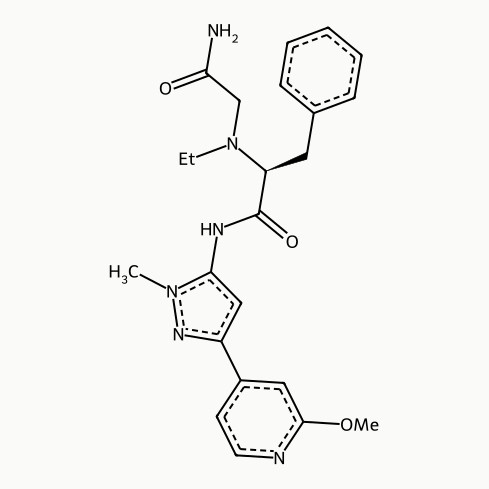 CCN(CC(N)=O)[C@@H](Cc1ccccc1)C(=O)Nc1cc(-c2ccnc(OC)c2)nn1C